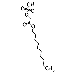 CCCCCCCCCCOC(=O)COS(=O)(=O)O